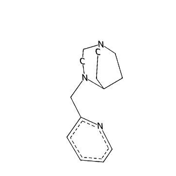 c1ccc(CN2CCN3CCC2CC3)nc1